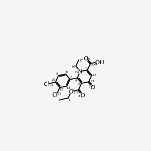 CCOC(=O)c1c(-c2ccc(Cl)c(Cl)c2)n(CC)c(C(=O)O)cc1=O